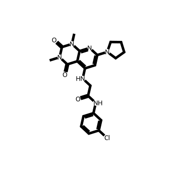 Cn1c(=O)c2c(NCC(=O)Nc3cccc(Cl)c3)cc(N3CCCC3)nc2n(C)c1=O